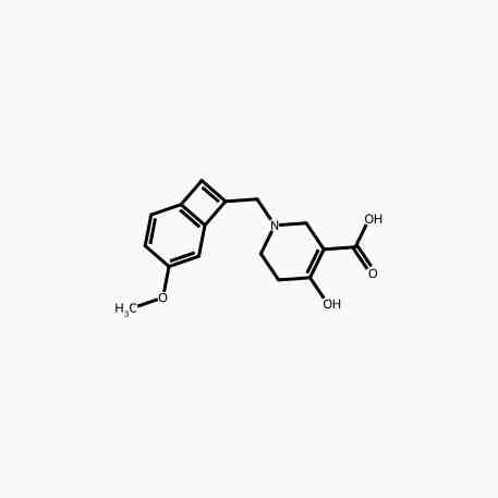 COc1ccc2c(c1)C(CN1CCC(O)=C(C(=O)O)C1)=C2